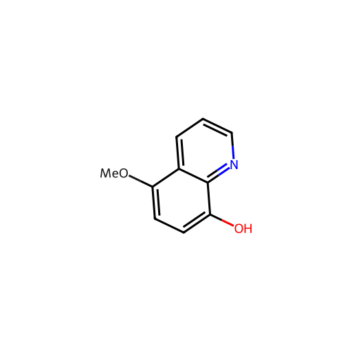 COc1ccc(O)c2ncccc12